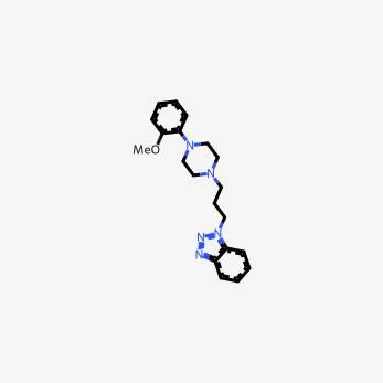 COc1ccccc1N1CCN(CCCn2nnc3ccccc32)CC1